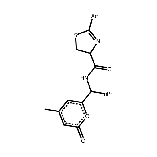 CCCC(NC(=O)C1CSC(C(C)=O)=N1)c1cc(C)cc(=O)o1